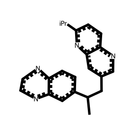 CC(C)c1ccc2ncc(CC(C)c3ccc4nccnc4c3)cc2n1